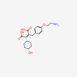 NCCOc1ccc(C/C(C(=O)O)=C(/C(=O)O)[C@H]2CC[C@@H](O)CC2)cc1